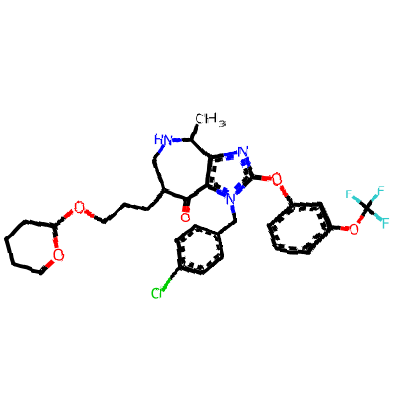 CC1NCC(CCCOC2CCCCO2)C(=O)c2c1nc(Oc1cccc(OC(F)(F)F)c1)n2Cc1ccc(Cl)cc1